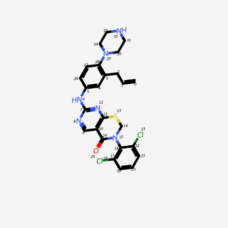 C=CCc1cc(Nc2ncc3c(n2)SCN(c2c(Cl)cccc2Cl)C3=O)ccc1N1CCNCC1